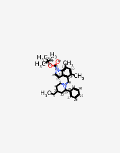 CCC1CCN(Cc2c(C)cc(C)c3c2ccn3C(=O)OC(C)(C)C)C(c2ccccc2)C1